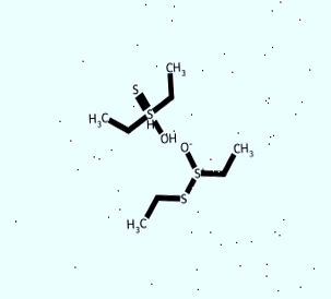 CCS[S+]([O-])CC.CC[SH](O)(=S)CC